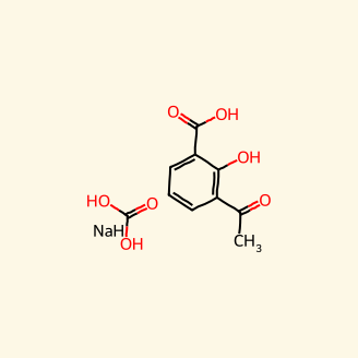 CC(=O)c1cccc(C(=O)O)c1O.O=C(O)O.[NaH]